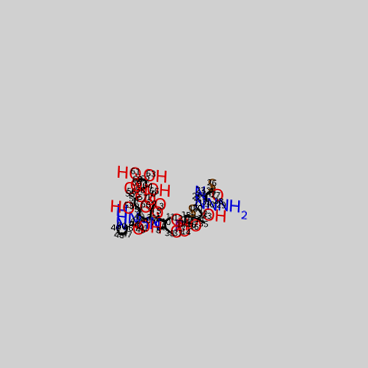 COC(=O)[C@]1(Oc2[nH]cc3c2COP(=O)(C2CC4(C2)SC(n2cnc5c(=S)oc(N)nc52)C(O)C4(C)O)OC3)C[C@H](O)[C@@H](NC(=O)[C@H]2CCCN2)[C@H]([C@H](O)[C@@H](CO)O[C@@H]2O[C@@H](O)[C@H](O)[C@@H]2O)O1